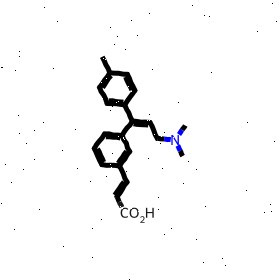 Cc1ccc(/C(=C/CN(C)C)c2cccc(/C=C/C(=O)O)c2)cc1